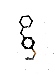 CCCCCSc1ccc(CC2CCCCC2)cc1